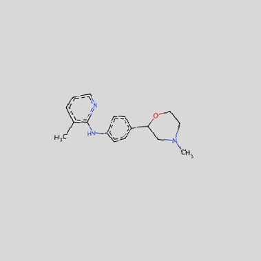 Cc1cccnc1Nc1ccc(C2CN(C)CCO2)cc1